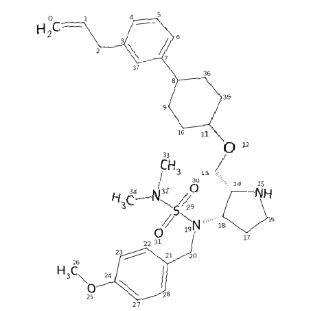 C=CCc1cccc(C2CCC(OC[C@@H]3NCC[C@@H]3N(Cc3ccc(OC)cc3)S(=O)(=O)N(C)C)CC2)c1